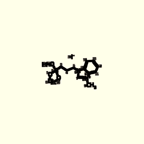 CCO[Si](CCCn1c[n+](C)c2ccccc21)(OCC)OCC.[I-]